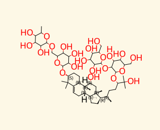 CC1OC(OCC2OC(O[C@H]3CC[C@@H]4C(=CC[C@@H]5[C@@]4(C)[C@H](O)C[C@]4(C)[C@@H]([C@H](C)CCC(OC6OC(CO)C(O)C(O)C6OC6OC(CO)C(O)C(O)C6O)C(C)(C)O)CC[C@@]54C)C3(C)C)C(O)C(O)C2O)C(O)C(O)C1O